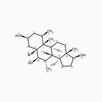 CC(=O)O[C@H]1C[C@@H](C)[C@]2(C)[C@H]3CC[C@]4(C)[C@@H](OC(C)=O)CC[C@H]4[C@@H]3[C@H](C)[C@@H](O)[C@]2(Br)C1